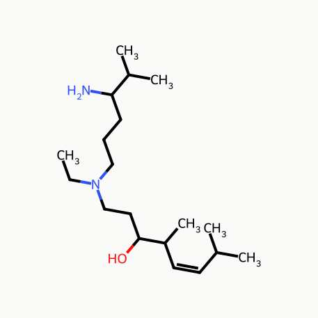 CCN(CCCC(N)C(C)C)CCC(O)C(C)/C=C\C(C)C